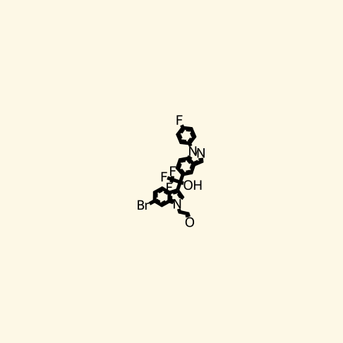 O=CCn1cc(C(O)(c2ccc3c(cnn3-c3ccc(F)cc3)c2)C(F)(F)F)c2ccc(Br)cc21